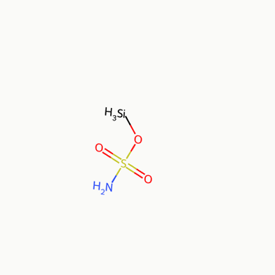 NS(=O)(=O)O[SiH3]